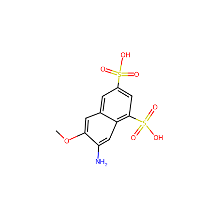 COc1cc2cc(S(=O)(=O)O)cc(S(=O)(=O)O)c2cc1N